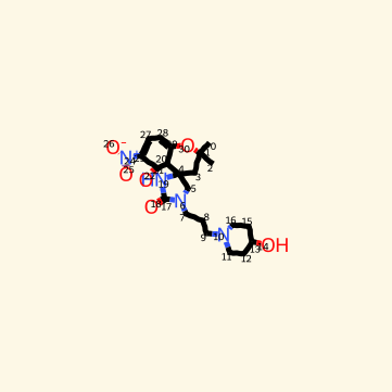 CC1(C)CC2(CN(CCCN3CCC(O)CC3)C(=O)N2)C2C(=O)C([N+](=O)[O-])=CC=C2O1